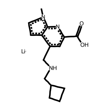 Cn1ccc2c(CNCC3CCC3)cc(C(=O)O)nc21.[Li]